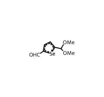 COC(OC)c1ccc(C=O)[se]1